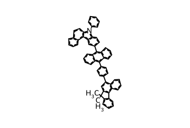 CC1(C)c2ccccc2-c2c1cc(-c1ccc(-c3c4ccccc4c(-c4ccc5c(c4)c4c6ccccc6ccc4n5-c4ccccc4)c4ccccc34)cc1)c1ccccc21